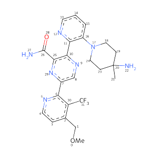 COCc1ccnc(-c2cnc(-c3ncccc3N3CCC(C)(N)CC3)c(C(N)=O)n2)c1C(F)(F)F